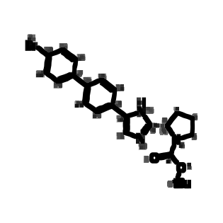 CC(C)(C)OC(=O)N1CCC[C@H]1c1ncc(-c2ccc(-c3ccc(Br)cc3)cc2)[nH]1